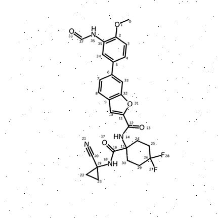 COc1ccc(-c2ccc3cc(C(=O)NC4(C(=O)NC5(C#N)CC5)CCC(F)(F)CC4)oc3c2)cc1NC=O